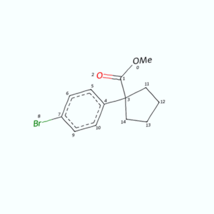 COC(=O)C1(c2ccc(Br)cc2)CCCC1